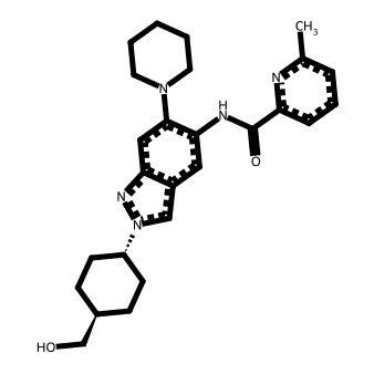 Cc1cccc(C(=O)Nc2cc3cn([C@H]4CC[C@H](CO)CC4)nc3cc2N2CCCCC2)n1